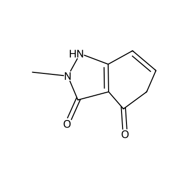 Cn1[nH]c2c(c1=O)C(=O)CC=C2